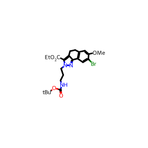 CCOC(=O)c1c2c(nn1CCCNC(=O)OC(C)(C)C)-c1cc(Br)c(OC)cc1CC2